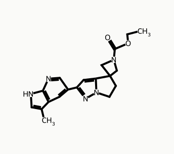 CCOC(=O)N1CC2(CCn3nc(-c4cnc5[nH]cc(C)c5c4)cc32)C1